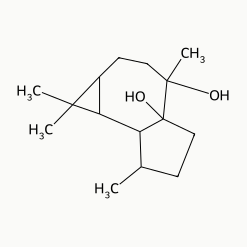 CC1CCC2(O)C1C1C(CCC2(C)O)C1(C)C